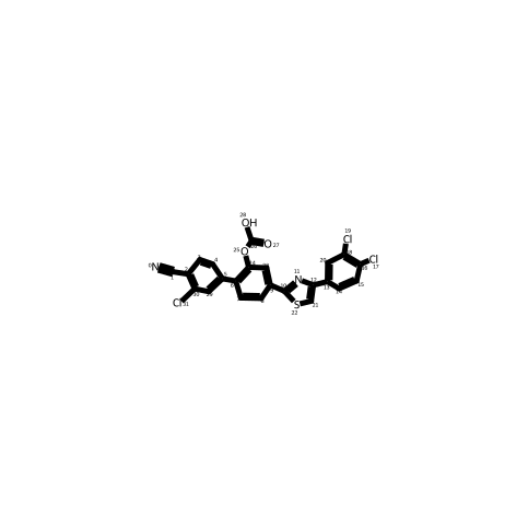 N#Cc1ccc(-c2ccc(-c3nc(-c4ccc(Cl)c(Cl)c4)cs3)cc2OC(=O)O)cc1Cl